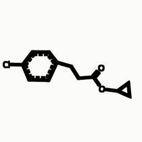 O=C(CCc1ccc(Cl)cc1)OC1CC1